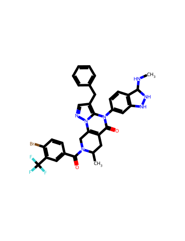 CNC1NNc2cc(-n3c(=O)c4c(n5ncc(Cc6ccccc6)c35)CN(C(=O)c3ccc(Br)c(C(F)(F)F)c3)C(C)C4)ccc21